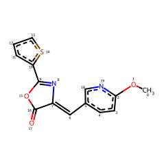 COc1ccc(/C=C2\N=C(c3cccs3)OC2=O)cn1